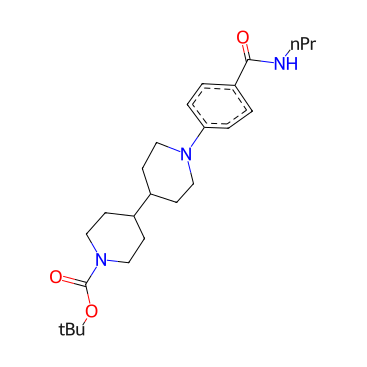 CCCNC(=O)c1ccc(N2CCC(C3CCN(C(=O)OC(C)(C)C)CC3)CC2)cc1